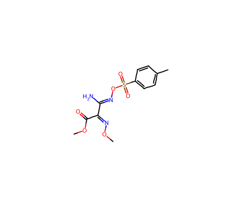 CON=C(C(=O)OC)C(N)=NOS(=O)(=O)c1ccc(C)cc1